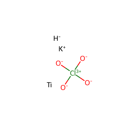 [H-].[K+].[O-][Cl+3]([O-])([O-])[O-].[Ti]